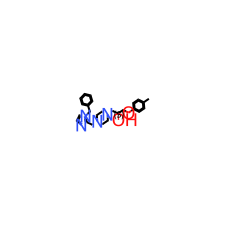 Cc1ccc(OC[C@@H](O)CN2CCN(Cc3nccn3Cc3ccccc3)CC2)cc1